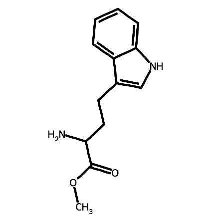 COC(=O)C(N)CCc1c[nH]c2ccccc12